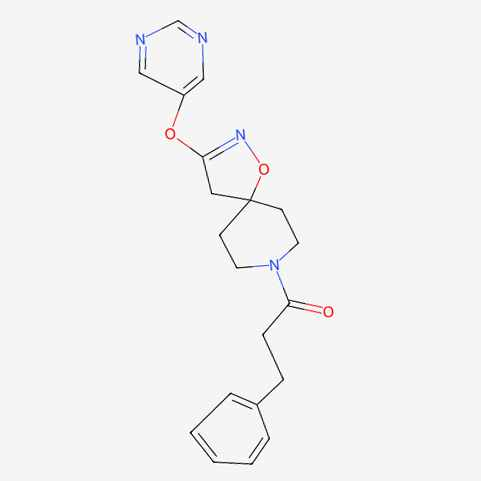 O=C(CCc1ccccc1)N1CCC2(CC1)CC(Oc1cncnc1)=NO2